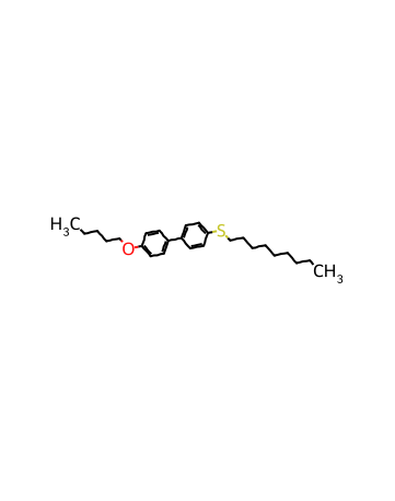 CCCCCCCCCSc1ccc(-c2ccc(OCCCCC)cc2)cc1